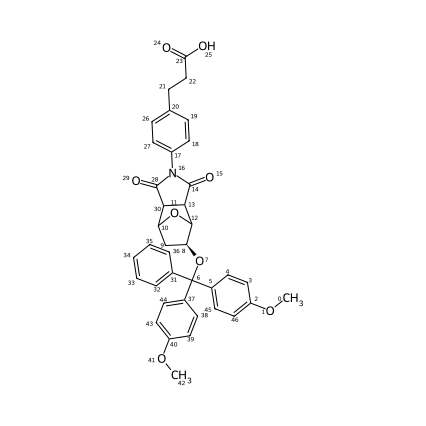 COc1ccc(C(O[C@H]2CC3OC2C2C(=O)N(c4ccc(CCC(=O)O)cc4)C(=O)C32)(c2ccccc2)c2ccc(OC)cc2)cc1